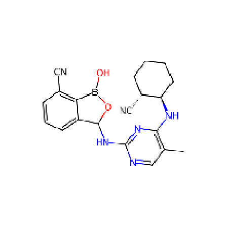 Cc1cnc(NC2OB(O)c3c(C#N)cccc32)nc1N[C@@H]1CCCC[C@H]1C#N